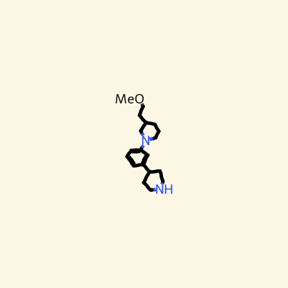 COCCC1CCCN(c2cccc(C3CCNCC3)c2)C1